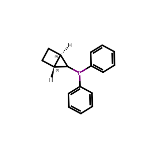 c1ccc(P(c2ccccc2)C2[C@@H]3CC[C@@H]23)cc1